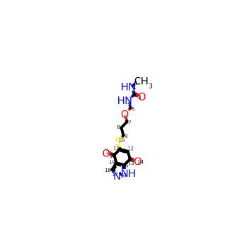 CNC(=O)NCOCCCSC1=CC(=O)c2[nH]ncc2C1=O